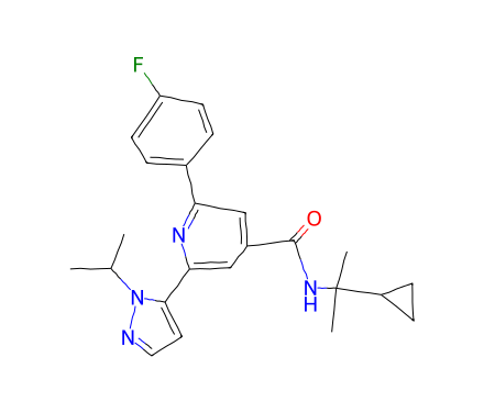 CC(C)n1nccc1-c1cc(C(=O)NC(C)(C)C2CC2)cc(-c2ccc(F)cc2)n1